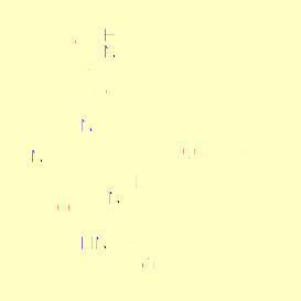 C[C@@H](NS(=O)(=O)Cc1cncc(CN2CC(=O)NC2=O)n1)c1ccc(F)c(OCC2CC2)c1